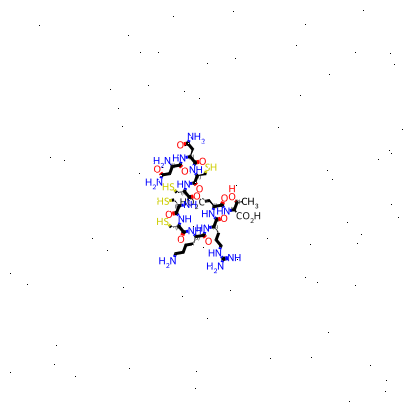 C[C@@H](O)[C@H](NC(=O)[C@H](CC(=O)O)NC(=O)[C@H](CCCNC(=N)N)NC(=O)[C@H](CCCCN)NC(=O)[C@H](CS)NC(=O)[C@H](CS)NC(=O)[C@H](CS)NC(=O)[C@H](CS)NC(=O)[C@H](CC(N)=O)NC(=O)[C@@H](N)CC(N)=O)C(=O)O